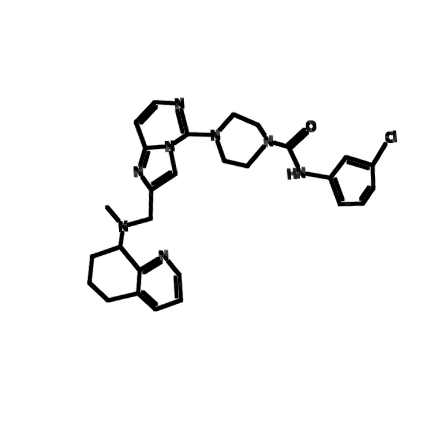 CN(Cc1cn2c(N3CCN(C(=O)Nc4cccc(Cl)c4)CC3)nccc2n1)C1CCCc2cccnc21